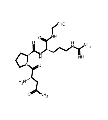 N=C(N)NCCC[C@H](NC(=O)[C@@H]1CCCN1C(=O)[C@@H](N)CC(N)=O)C(=O)NC[C]=O